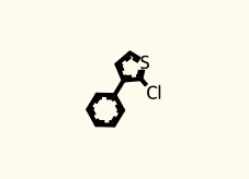 Clc1sccc1-c1ccccc1